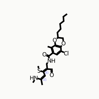 CCCCCCC1COc2c(Cl)cc(C(=O)NC/C(C=O)=C(/C=C(/C)NC)SC)c(C)c2O1